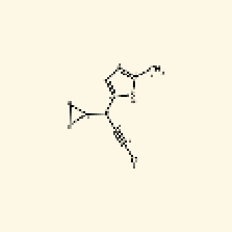 Cc1ccc(C(C#CO)C2CC2)s1